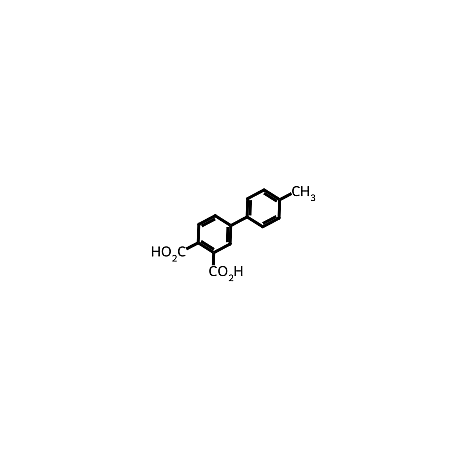 Cc1ccc(-c2ccc(C(=O)O)c(C(=O)O)c2)cc1